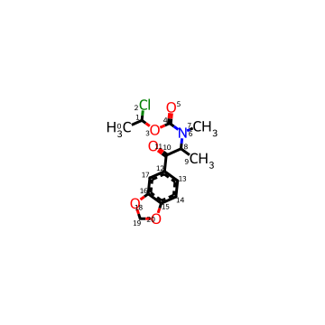 CC(Cl)OC(=O)N(C)C(C)C(=O)c1ccc2c(c1)OCO2